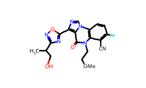 COCCn1c(=O)c2c(-c3nc(C(C)CO)no3)ncn2c2ccc(F)c(C#N)c21